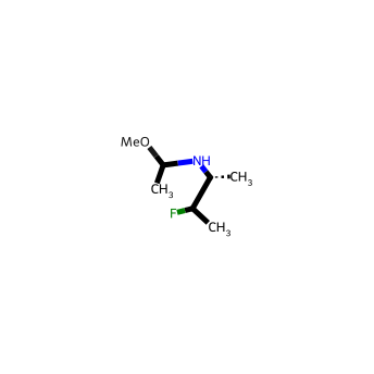 COC(C)N[C@H](C)C(C)F